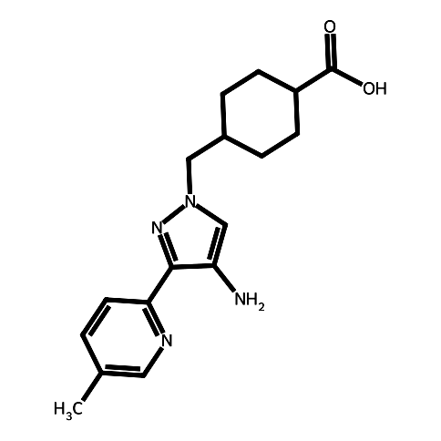 Cc1ccc(-c2nn(CC3CCC(C(=O)O)CC3)cc2N)nc1